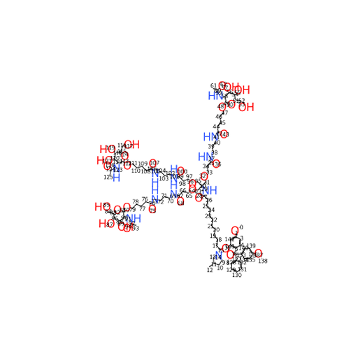 COc1ccc(C(OC[C@@H]2C[C@@H](C)CN2C(=O)CCCCCCCCCCC(=O)NC(COCCC(=O)NCCCNC(=O)CCCCOC2OC(CO)C(O)C(O)C2NC(C)=O)(COCCC(=O)NCCCNC(=O)CCCCOC2OC(CO)C(O)C(O)C2NC(C)=O)COCCC(=O)NCCCNC(=O)CCCCOC2OC(CO)C(O)C(O)C2NC(C)=O)(c2ccccc2)c2ccc(OC)cc2)cc1